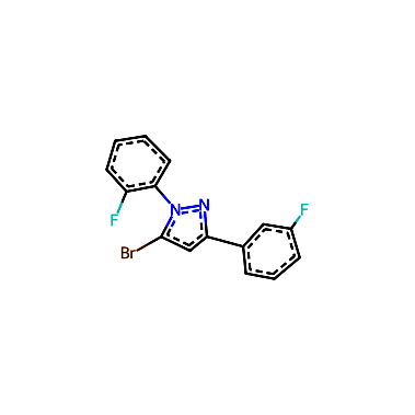 Fc1cccc(-c2cc(Br)n(-c3ccccc3F)n2)c1